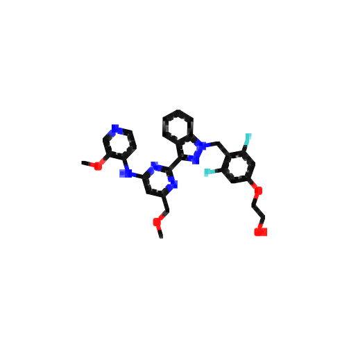 COCc1cc(Nc2ccncc2OC)nc(-c2nn(Cc3c(F)cc(OCCO)cc3F)c3ccccc23)n1